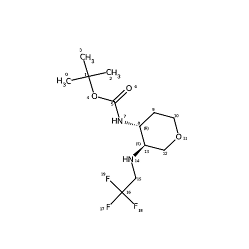 CC(C)(C)OC(=O)N[C@@H]1CCOC[C@H]1NCC(F)(F)F